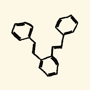 C(=Cc1ccccc1C=Cc1ccccc1)c1ccccc1